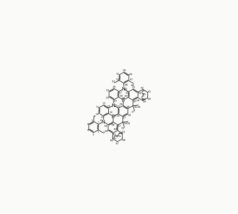 Cc1cccc(C)c1N1c2cccc3c2B2c4c(cc5c6c4N3c3cccc4c3B6c3c(cc6c(c3C5(C)C)C3CCC6CC3)N4c3c(C)cccc3C)C(C)(C)c3c2c1cc1c3C2CCC1CC2